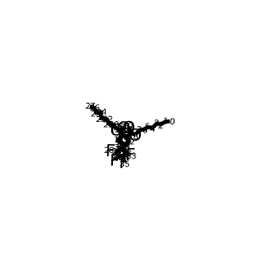 CCCCCCCCOC(=O)c1ccccc1C(=O)OCCCCCCCC.Fc1ccc(F)c(F)c1F